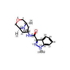 CCCCN1[C@@H]2COC[C@H]1C[C@@H](NC(=O)c1nn([C@@H](C)CC)c3ccccc13)C2